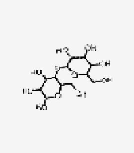 OCC1O[C@@H](O)C(O)C(O)[C@H]1O[C@@H]1OC(CS)[C@H](O)C(O)[C@@H]1O